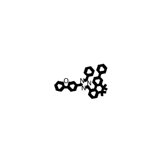 CC1(C)c2cc(-c3ccccc3)ccc2-c2c(-c3nc(-c4ccccc4)nc(-c4ccc5c(c4)oc4ccccc45)n3)cccc2C1(C)C